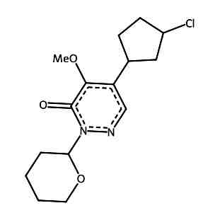 COc1c(C2CCC(Cl)C2)cnn(C2CCCCO2)c1=O